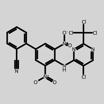 N#Cc1ccccc1-c1cc([N+](=O)[O-])c(Nc2nc(C(Cl)(Cl)Cl)ncc2Cl)c([N+](=O)[O-])c1